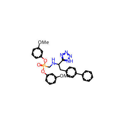 COc1cccc(OP(=O)(CNC(Cc2ccc(-c3ccccc3)cc2)c2nnn[nH]2)Oc2cccc(OC)c2)c1